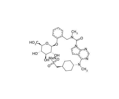 CNS(=O)(=O)C[C@H]1CC[C@H](N(C)c2ncnc3c2ccn3C(=O)N(C)Cc2ccccc2O[C@@H]2O[C@H](C(=O)O)[C@@H](O)[C@H](O)[C@H]2O)CC1